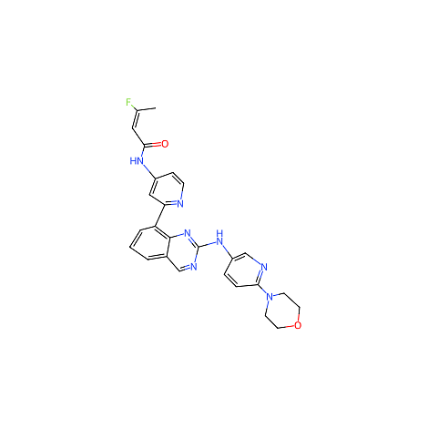 C/C(F)=C\C(=O)Nc1ccnc(-c2cccc3cnc(Nc4ccc(N5CCOCC5)nc4)nc23)c1